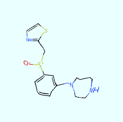 [O-][S+](Cc1nccs1)c1cccc(N2CCNCC2)c1